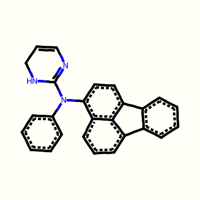 C1=CN=C(N(c2ccccc2)c2ccc3c4c(cccc24)-c2ccccc2-3)NC1